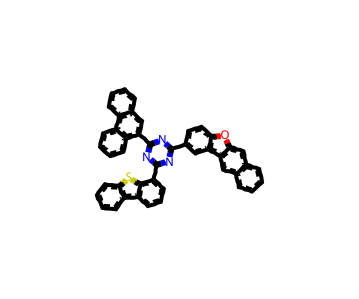 c1ccc2cc3c(cc2c1)oc1ccc(-c2nc(-c4cc5ccccc5c5ccccc45)nc(-c4cccc5c4sc4ccccc45)n2)cc13